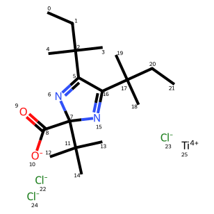 CCC(C)(C)C1=NC(C(=O)[O-])(C(C)(C)C)N=C1C(C)(C)CC.[Cl-].[Cl-].[Cl-].[Ti+4]